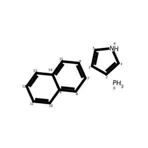 P.c1cc[nH]c1.c1ccc2ccccc2c1